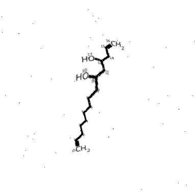 C=CCCCCCCCC(O)CC(O)CC=C